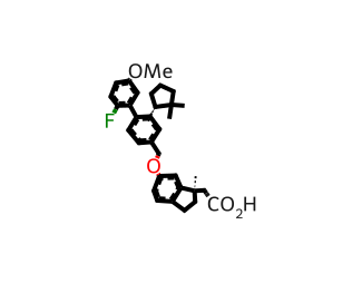 COc1ccc(F)c(-c2ccc(COc3ccc4c(c3)[C@@](C)(CC(=O)O)CC4)cc2[C@@H]2CCCC2(C)C)c1